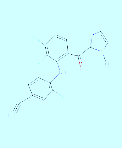 C#Cc1ccc(Nc2c(C(=O)c3nccn3C)ccc(F)c2F)c(F)c1